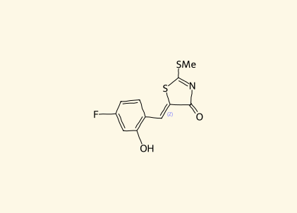 CSC1=NC(=O)/C(=C/c2ccc(F)cc2O)S1